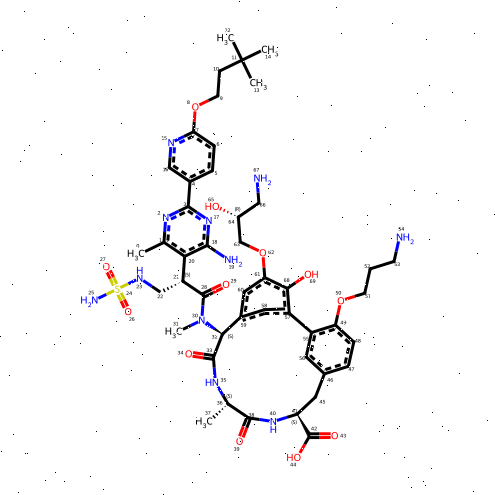 Cc1nc(-c2ccc(OCCC(C)(C)C)nc2)nc(N)c1[C@@H](CNS(N)(=O)=O)C(=O)N(C)[C@@H]1C(=O)N[C@@H](C)C(=O)N[C@H](C(=O)O)Cc2ccc(OCCCN)c(c2)-c2cc1cc(OC[C@H](O)CN)c2O